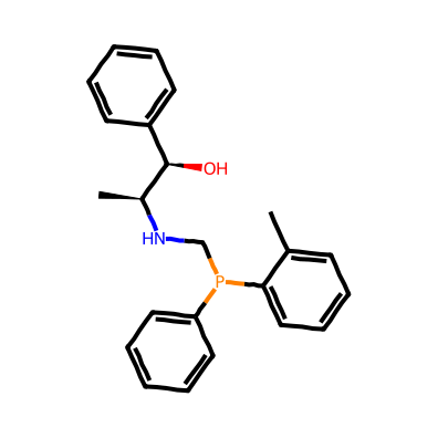 Cc1ccccc1P(CN[C@@H](C)[C@H](O)c1ccccc1)c1ccccc1